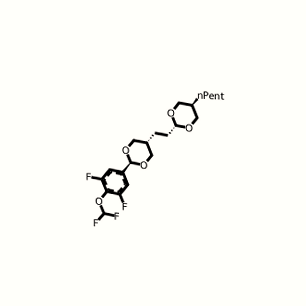 CCCCC[C@H]1CO[C@H](CC[C@H]2CO[C@H](c3cc(F)c(OC(F)F)c(F)c3)OC2)OC1